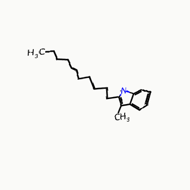 CCCCCCCCCCCC1=C(C)c2ccccc2[N]1